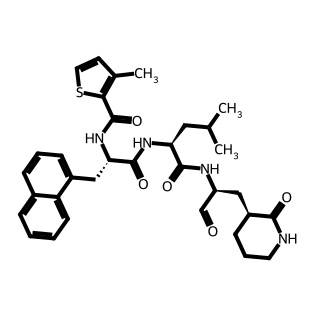 Cc1ccsc1C(=O)N[C@@H](Cc1cccc2ccccc12)C(=O)N[C@@H](CC(C)C)C(=O)N[C@H](C=O)C[C@@H]1CCCNC1=O